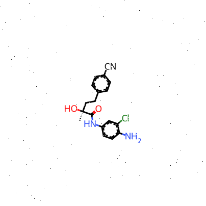 C[C@](O)(CCc1ccc(C#N)cc1)C(=O)Nc1ccc(N)c(Cl)c1